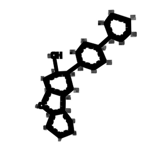 Oc1cc2oc3ccccc3c2cc1-c1ccc(-c2ccccc2)cc1